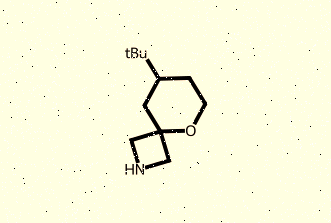 CC(C)(C)C1CCOC2(CNC2)C1